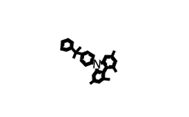 Cc1cc(C)c2c3c(C)cc(C)cc3n(-c3ccc(C(C)(C)c4ccccc4)cc3)c2c1